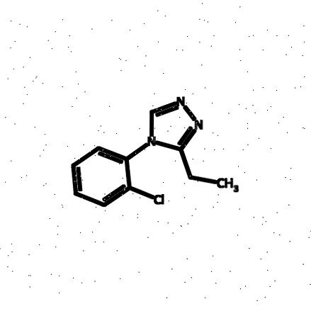 CCc1nncn1-c1ccccc1Cl